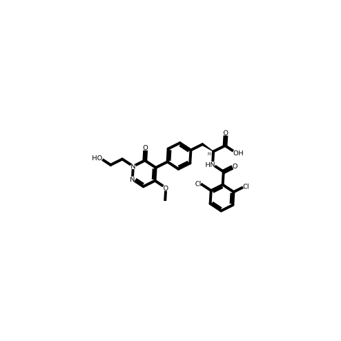 COc1cnn(CCO)c(=O)c1-c1ccc(C[C@H](NC(=O)c2c(Cl)cccc2Cl)C(=O)O)cc1